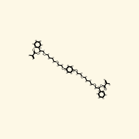 C=C(C)C(=O)OC(COCCCCOCCOc1ccc(OCCOCCCCOCC(OC(=O)C(=C)C)c2ccccc2)cc1)c1ccccc1